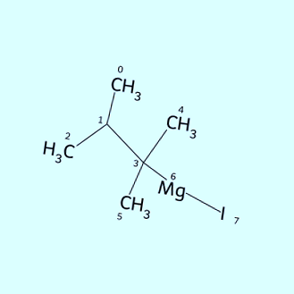 CC(C)[C](C)(C)[Mg][I]